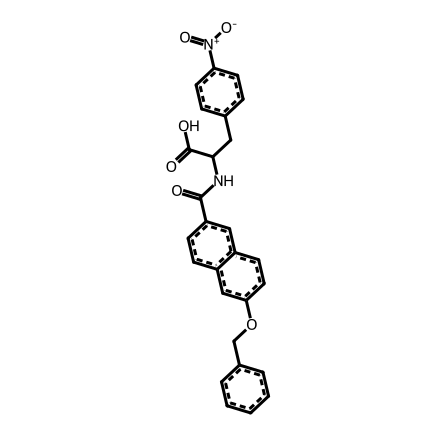 O=C(NC(Cc1ccc([N+](=O)[O-])cc1)C(=O)O)c1ccc2cc(OCc3ccccc3)ccc2c1